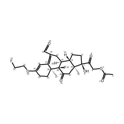 CC(=O)OCC(=O)[C@@]1(O)CC[C@H]2[C@@H]3CC(C=O)=C4C=C(OCCF)CC[C@]4(C)[C@@]3(F)C(=O)C[C@@]21C